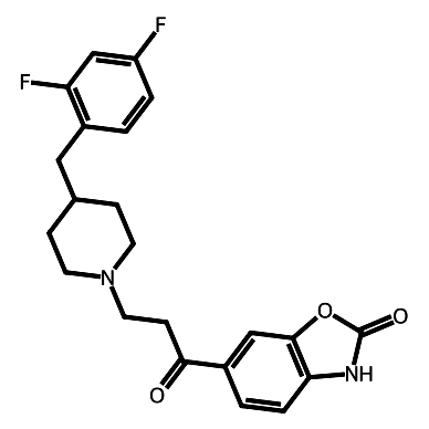 O=C(CCN1CCC(Cc2ccc(F)cc2F)CC1)c1ccc2[nH]c(=O)oc2c1